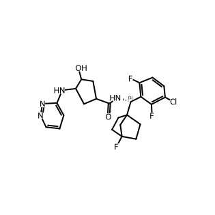 O=C(N[C@H](c1c(F)ccc(Cl)c1F)C12CCC(F)(CC1)C2)C1CC(O)C(Nc2cccnn2)C1